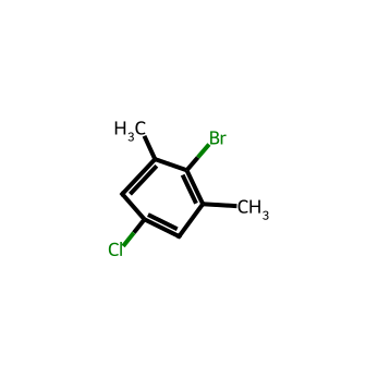 Cc1cc(Cl)cc(C)c1Br